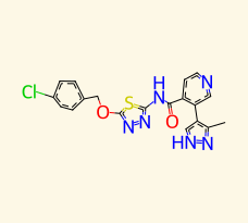 Cc1n[nH]cc1-c1cnccc1C(=O)Nc1nnc(OCc2ccc(Cl)cc2)s1